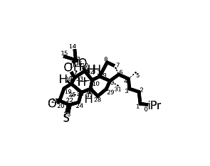 CC(C)CCC[C@@H](C)[C@H]1CC[C@H]2[C@@H]3[C@H]4OC(C)(C)O[C@@H]4[C@H]4CC(=O)C(=S)C[C@]4(C)[C@H]3CC[C@]12C